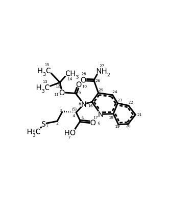 CSCC[C@@H](C(=O)O)N(C(=O)OC(C)(C)C)c1nc2ccccc2cc1C(N)=O